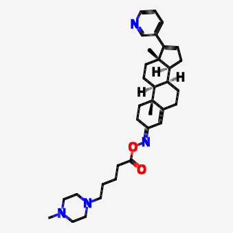 CN1CCN(CCCCC(=O)ON=C2C=C3CC[C@H]4[C@H](CC[C@]5(C)C(c6cccnc6)=CC[C@@H]45)[C@@]3(C)CC2)CC1